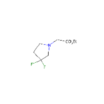 CCOC(=O)CN1CCC(F)(F)C1